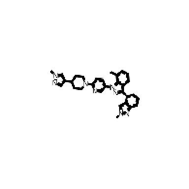 Cc1cccc2c(-c3cccc4nn(C)cc34)nn(-c3ccc(N4CCC(c5cnn(C)c5)CC4)nc3)c12